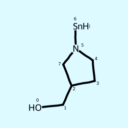 OCC1CC[N]([SnH])C1